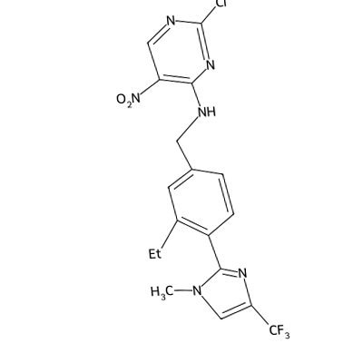 CCc1cc(CNc2nc(Cl)ncc2[N+](=O)[O-])ccc1-c1nc(C(F)(F)F)cn1C